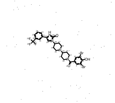 O=C(c1cc(Br)c(O)c(Br)c1)N1CCC(N2CCC(n3cc(-c4cccc(C(F)(F)F)c4)[nH]c3=O)CC2)CC1